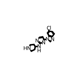 Clc1ccc2ncn(-c3ccnc(NC4CCNCC4)n3)c2c1